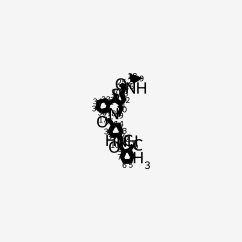 CC(C)c1ccccc1C(=O)Nc1ccc(C(=O)N2CCc3cc(C(=O)NC4CC4)sc3-c3ccccc32)cc1